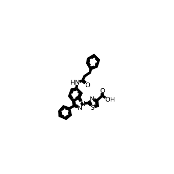 O=C(CCc1ccccc1)Nc1ccc2c(-c3ccccc3)nn(-c3nc(C(=O)O)cs3)c2c1